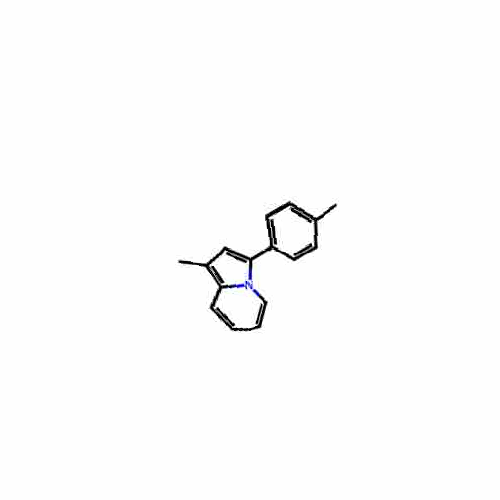 Cc1ccc(-c2cc(C)c3ccccn23)cc1